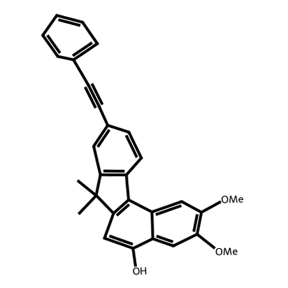 COc1cc2c(O)cc3c(c2cc1OC)-c1ccc(C#Cc2ccccc2)cc1C3(C)C